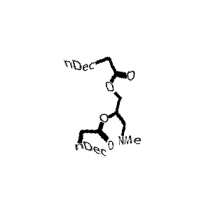 CCCCCCCCCCCC(=O)OCC(CNC)OC(=O)CCCCCCCCCCC